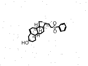 C[C@H](CS(=O)(=O)c1ccccc1)[C@H]1CC[C@H]2[C@@H]3CC=C4C[C@@H](O)CC[C@]4(C)[C@H]3CC[C@]12C